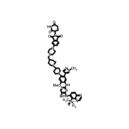 COc1cc(N2CCC(N3CCC(CN4CCN(c5ccc6c(c5)C(=O)N(C5CCC(=O)NC5=O)C6=O)CC4)CC3)CC2)c(-c2cnn(C)c2)cc1Nc1ncc(Br)c(Nc2ccc3nccnc3c2P(C)(C)=O)n1